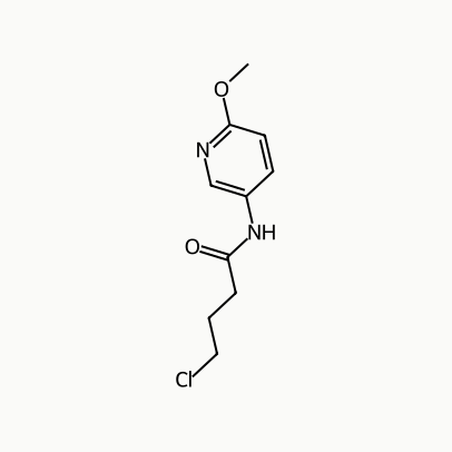 COc1ccc(NC(=O)CCCCl)cn1